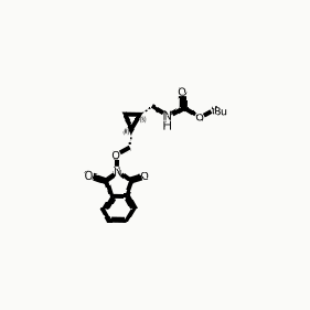 CC(C)(C)OC(=O)NC[C@H]1C[C@H]1CON1C(=O)c2ccccc2C1=O